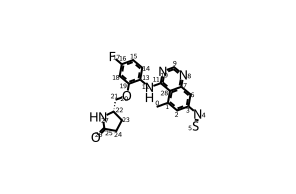 Cc1cc(N=S)cc2ncnc(Nc3ccc(F)cc3OC[C@@H]3CCC(=O)N3)c12